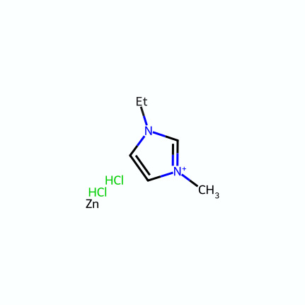 CCn1cc[n+](C)c1.Cl.Cl.[Zn]